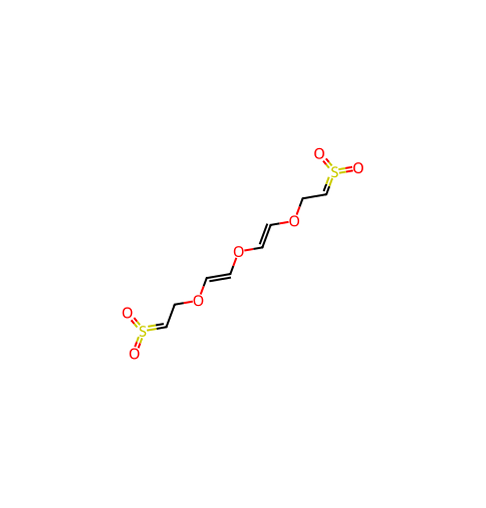 O=S(=O)=CCOC=COC=COCC=S(=O)=O